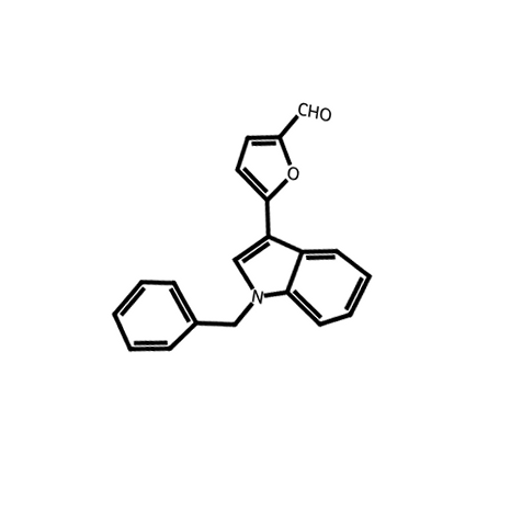 O=Cc1ccc(-c2cn(Cc3ccccc3)c3ccccc23)o1